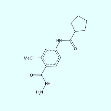 COc1cc(NC(=O)C2CCCC2)ccc1C(=O)NN